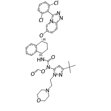 CC(C)(C)c1cc(N(OC=O)C(=O)N[C@H]2CC[C@@H](Oc3ccc4nnc(-c5c(Cl)cccc5Cl)n4c3)c3ccccc32)n(CCN2CCOCC2)n1